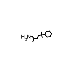 CC(CN)CCC(C)(C)C1CCCCC1